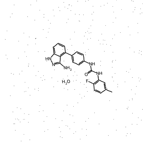 Cc1ccc(F)c(NC(=O)Nc2ccc(-c3cccc4[nH]nc(N)c34)cc2)c1.O